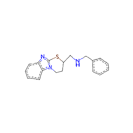 c1ccc(CNCC2CCn3c(nc4ccccc43)S2)cc1